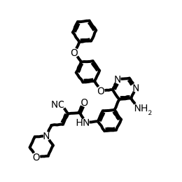 N#C/C(=C\CN1CCOCC1)C(=O)Nc1cccc(-c2c(N)ncnc2Oc2ccc(Oc3ccccc3)cc2)c1